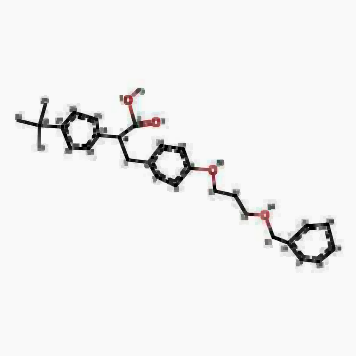 COC(=O)C(Cc1ccc(OCCCOCc2ccccc2)cc1)c1ccc(C(C)(C)C)cc1